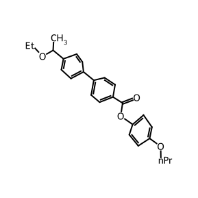 CCCOc1ccc(OC(=O)c2ccc(-c3ccc(C(C)OCC)cc3)cc2)cc1